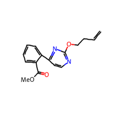 C=CCCOc1nccc(-c2ccccc2C(=O)OC)n1